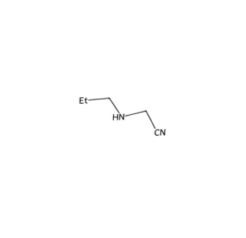 [CH2]CCNCC#N